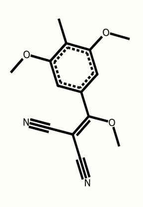 COC(=C(C#N)C#N)c1cc(OC)c(C)c(OC)c1